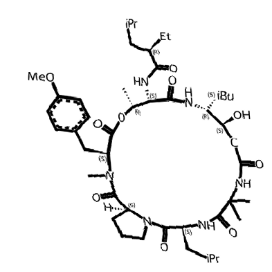 CC[C@H](CC(C)C)C(=O)N[C@@H]1C(=O)N[C@H]([C@@H](C)CC)[C@@H](O)CC(=O)NC(C)(C)C(=O)N[C@@H](CC(C)C)C(=O)N2CCC[C@H]2C(=O)N(C)[C@@H](Cc2ccc(OC)cc2)C(=O)O[C@@H]1C